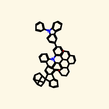 C1=CC(c2ccccc2N(c2cccc(-c3ccc4c(c3)c3ccccc3n4-c3ccccc3)c2)c2ccccc2-c2ccc3c(c2)C2(c4ccccc4-3)C3CC4CC5CC2C53C4)C2C(=C1)C=CCC2C1CCCCC1